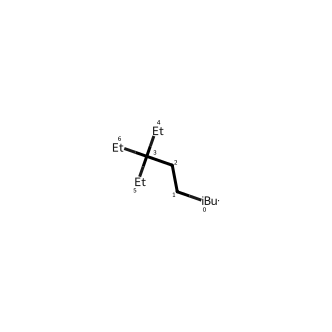 CC[C](C)CCC(CC)(CC)CC